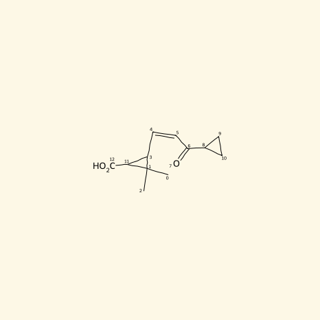 CC1(C)C(/C=C\C(=O)C2CC2)C1C(=O)O